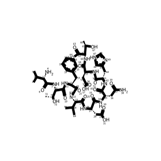 CC(C)[C@H](N)C(=O)N[C@H](C(=O)N[C@@H](Cc1ccccc1)C(=O)N[C@H](C(=O)N[C@@H](CC(=O)O)C(=O)N[C@@H](CC(N)=O)C(=O)N[C@@H](Cc1c[nH]cn1)C(=O)N[C@@H](CC(=O)O)C(=O)N[C@H](C(=O)O)[C@@H](C)O)C(C)C)[C@@H](C)O